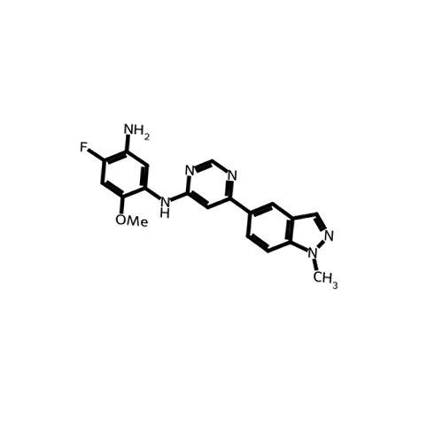 COc1cc(F)c(N)cc1Nc1cc(-c2ccc3c(cnn3C)c2)ncn1